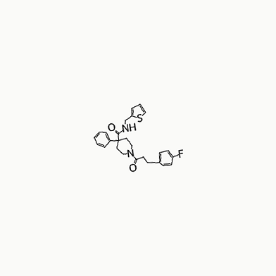 O=C(CCc1ccc(F)cc1)N1CCC(C(=O)NCc2cccs2)(c2ccccc2)CC1